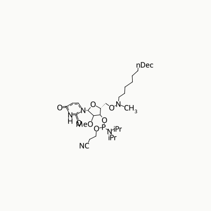 CCCCCCCCCCCCCCCCN(C)OC[C@H]1O[C@@H](n2ccc(=O)[nH]c2=O)C(OC)C1OP(OCCC#N)N(C(C)C)C(C)C